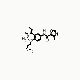 C/C=C(/c1cc(NC(=O)c2ocnc2C)ccc1OCCN)N(C)N